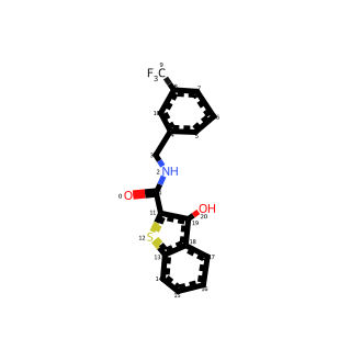 O=C(NCc1cccc(C(F)(F)F)c1)c1sc2ccccc2c1O